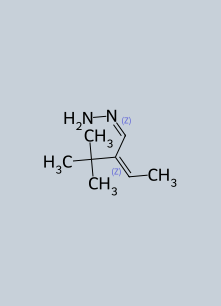 C/C=C(\C=N/N)C(C)(C)C